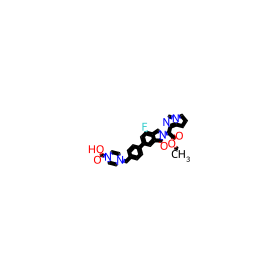 CCOC(=O)C(c1ncn2c1CCC2)N1Cc2c(F)cc(-c3ccc(CN4CCN(C(=O)O)CC4)cc3)cc2C1=O